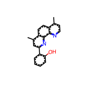 Cc1ccnc2c1ccc1c(C)cc(-c3ccccc3O)nc12